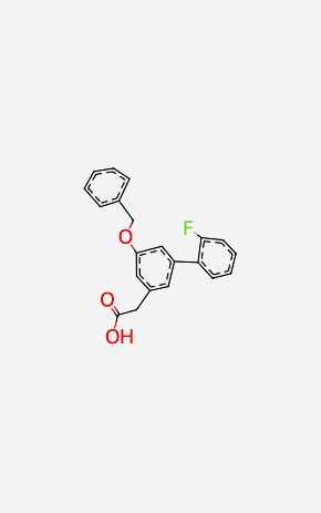 O=C(O)Cc1cc(OCc2ccccc2)cc(-c2ccccc2F)c1